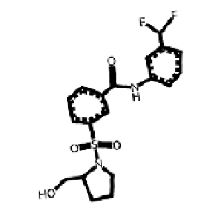 O=C(Nc1cccc(C(F)F)c1)c1cccc(S(=O)(=O)N2CCCC2CO)c1